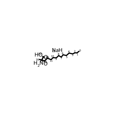 CCCCCCCCCCCCCC(=O)C(C)(N)C(=O)O.[NaH]